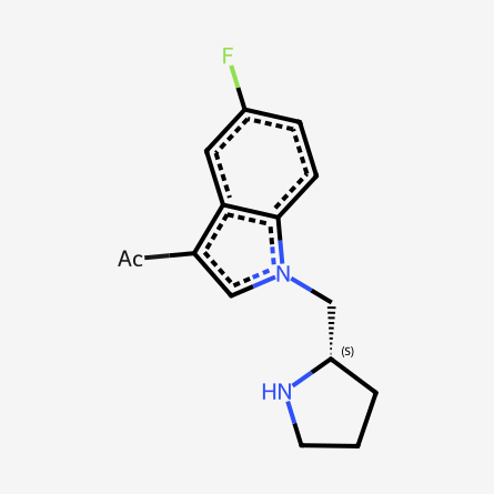 CC(=O)c1cn(C[C@@H]2CCCN2)c2ccc(F)cc12